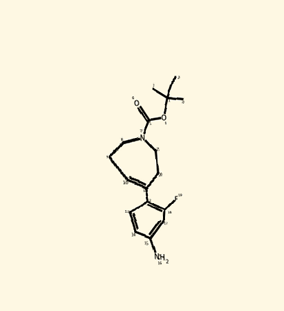 CC(C)(C)OC(=O)N1CCC=C(c2ccc(N)cc2F)CC1